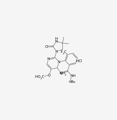 CCCCNC(=O)c1cccc(C(F)(F)F)c1N1C(N2CC(C)(C)NC2=O)=NC=C(OC(=O)O)C1N.Cl